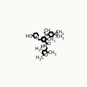 CCN(c1cc(CN2CCC[C@H](O)C2)cc(C(=O)NCC2=C(C)C=C(C)OC2C)c1C)C1CCC(N(C)C)CC1